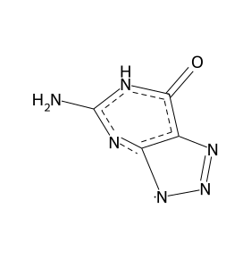 Nc1nc2c(c(=O)[nH]1)N=N[N]2